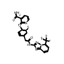 NC(=O)c1cccnc1Oc1ccc(CC(=O)Nc2nc3cccc(C(F)(F)F)n3n2)cc1F